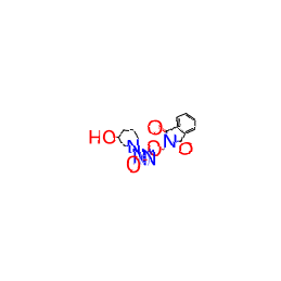 O=C1c2ccccc2C(=O)N1CO/N=[N+](/[O-])N1CCCC(O)C1